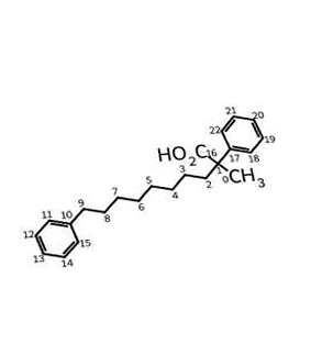 CC(CCCCCCCCc1ccccc1)(C(=O)O)c1ccccc1